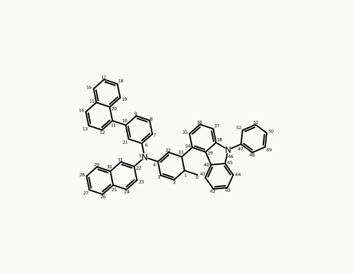 CC1C=CC(N(c2cccc(-c3cccc4ccccc34)c2)c2ccc3ccccc3c2)=CC1c1cccc2c1c1ccccc1n2-c1ccccc1